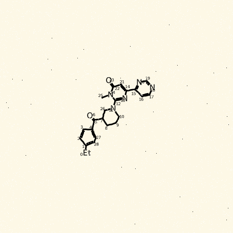 CCc1ccc(C(=O)C2CCCN(c3nc(-c4ccncn4)cc(=O)n3C)C2)cc1